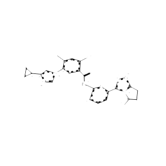 Cc1cc(F)c(C(=O)Nc2cccc(-c3nnc4n3C(C(F)(F)F)CC4)n2)cc1-n1cnc(C2CC2)c1